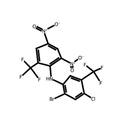 O=[N+]([O-])c1cc([N+](=O)[O-])c(Nc2cc(C(F)(F)F)c(Cl)cc2Br)c(C(F)(F)F)c1